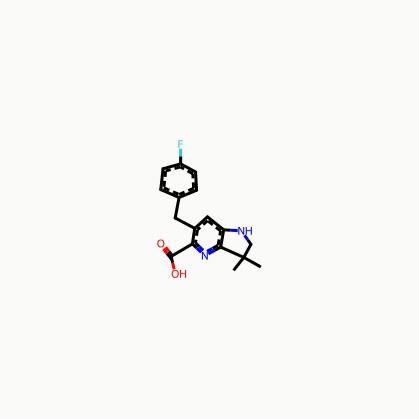 CC1(C)CNc2cc(Cc3ccc(F)cc3)c(C(=O)O)nc21